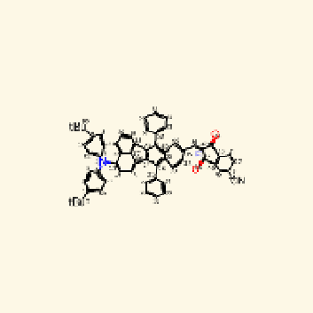 CC(C)(C)c1ccc(N(c2ccc(C(C)(C)C)cc2)c2ccc3c4c(cccc24)-c2c-3c(-c3ccccc3)c3ccc(/C=C4/C(=O)c5ccc(C#N)cc5C4=O)cc3c2-c2ccccc2)cc1